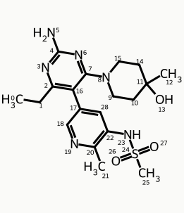 CCc1nc(N)nc(N2CCC(C)(O)CC2)c1-c1cnc(C)c(NS(C)(=O)=O)c1